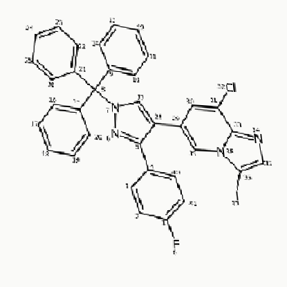 Fc1ccc(-c2nn(C(c3ccccc3)(c3ccccc3)c3ccccc3)cc2-c2cc(Cl)c3ncc(I)n3c2)cc1